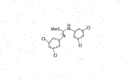 CS/C(=N\c1cc(Cl)cc(Cl)c1)Nc1cc(Cl)cc(Cl)c1